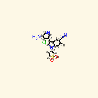 Cc1cc2c(cc1C#N)c(-c1cncc(N)c1Cl)cn2C1=CS(=O)(=O)C=C1